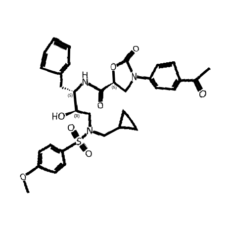 COc1ccc(S(=O)(=O)N(CC2CC2)C[C@@H](O)[C@H](Cc2ccccc2)NC(=O)[C@@H]2CN(c3ccc(C(C)=O)cc3)C(=O)O2)cc1